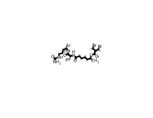 CC(=O)[C@H](CCCNC(N)=O)NC(=O)[C@@H](NC(=O)CCCCC(C)OC(=O)C(CBr)CBr)C(C)C